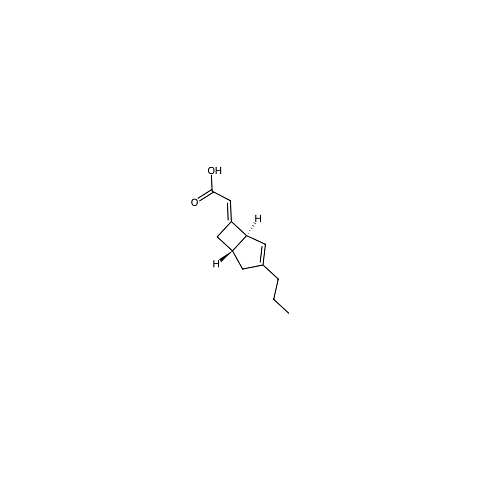 CCCC1=C[C@@H]2C(=CC(=O)O)C[C@H]2C1